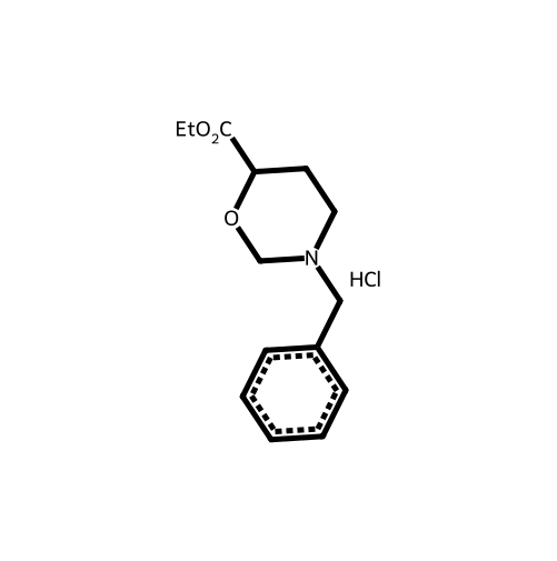 CCOC(=O)C1CCN(Cc2ccccc2)CO1.Cl